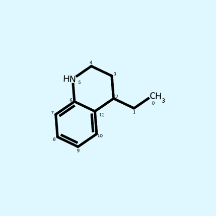 CCC1CCNc2ccccc21